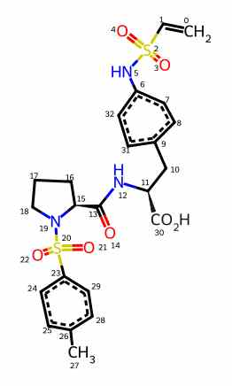 C=CS(=O)(=O)Nc1ccc(C[C@H](NC(=O)[C@@H]2CCCN2S(=O)(=O)c2ccc(C)cc2)C(=O)O)cc1